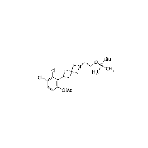 COc1ccc(Cl)c(Cl)c1C1CC2(C1)CN(CCO[Si](C)(C)C(C)(C)C)C2